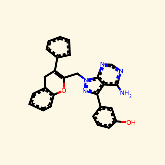 Nc1ncnc2c1c(-c1cccc(O)c1)nn2CC1=C(c2ccccc2)Cc2ccccc2O1